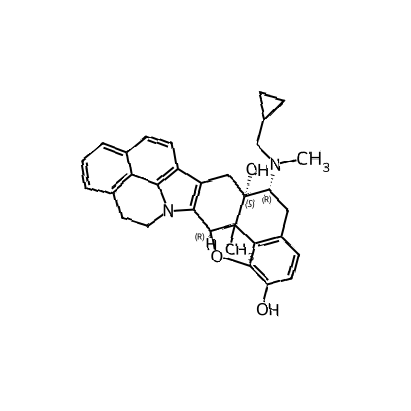 CN(CC1CC1)[C@@H]1Cc2ccc(O)c3c2C2(C)[C@@H](O3)c3c(c4ccc5cccc6c5c4n3CC6)C[C@@]12O